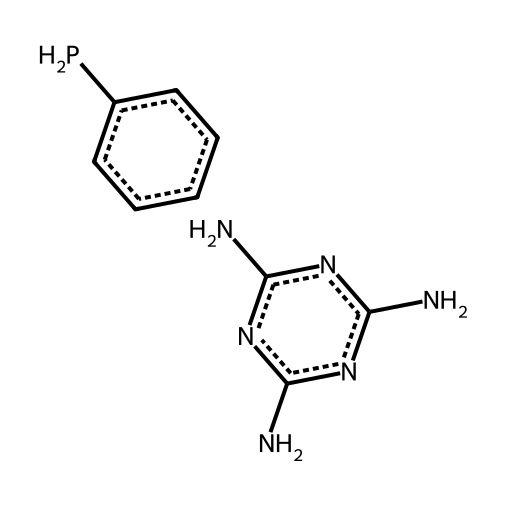 Nc1nc(N)nc(N)n1.Pc1ccccc1